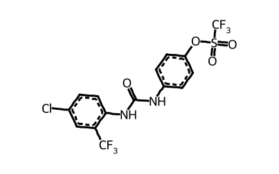 O=C(Nc1ccc(OS(=O)(=O)C(F)(F)F)cc1)Nc1ccc(Cl)cc1C(F)(F)F